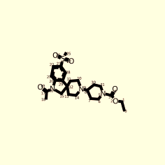 CCOC(=O)N1CCC(N2CCC3(CC2)CN(C(C)=O)c2ccc(S(C)(=O)=O)cc23)CC1